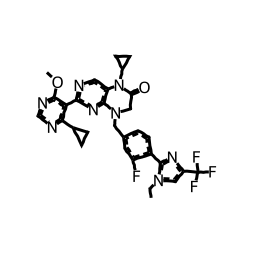 CCn1cc(C(F)(F)F)nc1-c1ccc(CN2CC(=O)N(C3CC3)c3cnc(-c4c(OC)ncnc4C4CC4)nc32)cc1F